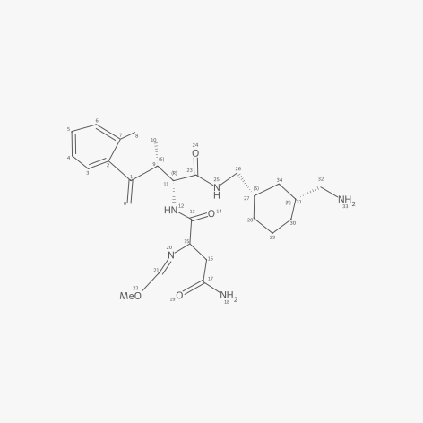 C=C(c1ccccc1C)[C@H](C)[C@@H](NC(=O)C(CC(N)=O)N=COC)C(=O)NC[C@H]1CCC[C@@H](CN)C1